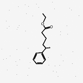 CCOC(=O)CCCC(C)c1ccccc1